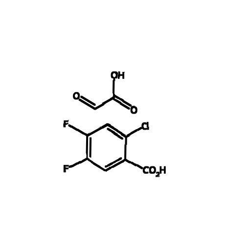 O=C(O)c1cc(F)c(F)cc1Cl.O=CC(=O)O